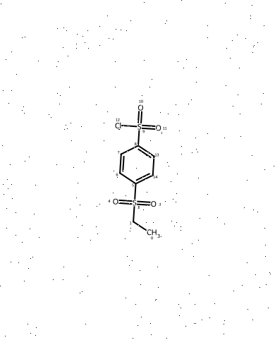 CCS(=O)(=O)c1ccc(S(=O)(=O)Cl)cc1